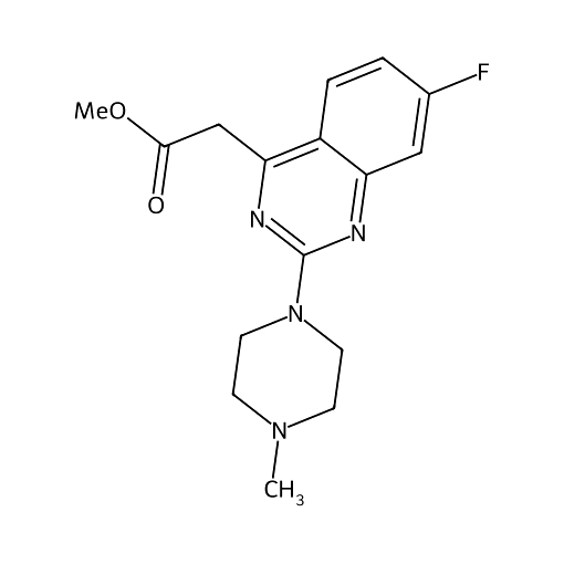 COC(=O)Cc1nc(N2CCN(C)CC2)nc2cc(F)ccc12